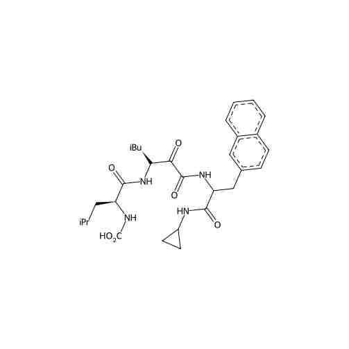 CC[C@H](C)C(NC(=O)[C@H](CC(C)C)NC(=O)O)C(=O)C(=O)NC(Cc1ccc2ccccc2c1)C(=O)NC1CC1